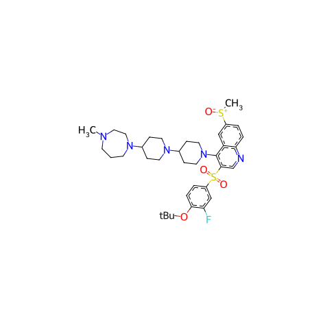 CN1CCCN(C2CCN(C3CCN(c4c(S(=O)(=O)c5ccc(OC(C)(C)C)c(F)c5)cnc5ccc([S+](C)[O-])cc45)CC3)CC2)CC1